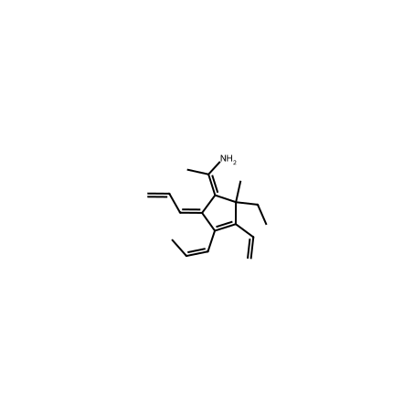 C=C/C=C1/C(/C=C\C)=C(C=C)C(C)(CC)/C1=C(/C)N